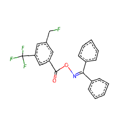 O=C(ON=C(c1ccccc1)c1ccccc1)c1cc(CF)cc(C(F)(F)F)c1